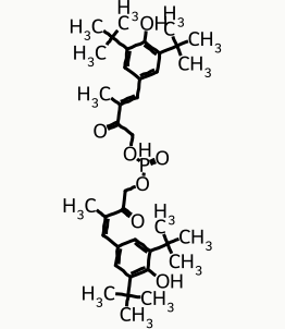 CC(=Cc1cc(C(C)(C)C)c(O)c(C(C)(C)C)c1)C(=O)CO[PH](=O)OCC(=O)C(C)=Cc1cc(C(C)(C)C)c(O)c(C(C)(C)C)c1